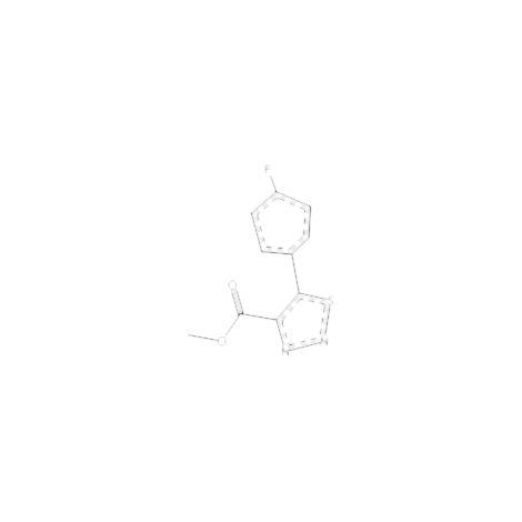 COC(=O)c1nnsc1-c1ccc(F)cc1